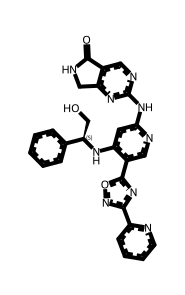 O=C1NCc2nc(Nc3cc(N[C@H](CO)c4ccccc4)c(-c4nc(-c5ccccn5)no4)cn3)ncc21